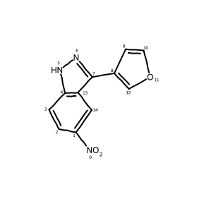 O=[N+]([O-])c1ccc2[nH]nc(-c3ccoc3)c2c1